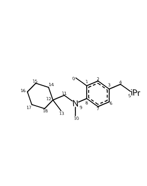 Cc1cc(CC(C)C)ccc1N(C)CC1(C)CCCCC1